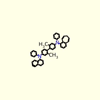 Cc1cc(N(c2ccccc2)c2cccc3c2C=CCC=C3)ccc1-c1ccc(N(c2ccccc2)c2cccc3c#cccc23)cc1C